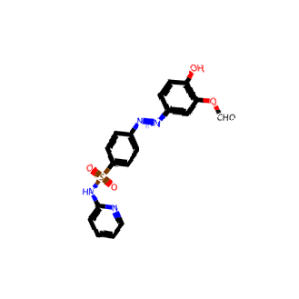 O=COc1cc(/N=N/c2ccc(S(=O)(=O)Nc3ccccn3)cc2)ccc1O